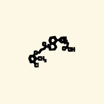 Cc1c(Cl)cccc1OCCCC(=O)N1CCCc2c(-c3cnn(CC(=O)O)c3)cccc21